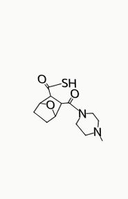 CN1CCN(C(=O)C2C3CCC(O3)C2C(=O)S)CC1